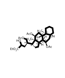 CCOC(=O)C(O)C[C@@H](COC(C)=O)[C@H]1CC[C@H]2[C@@H]3[C@H](OC(C)=O)C[C@@H]4CCCC[C@]4(C)[C@H]3C[C@H](OC(C)=O)[C@]12C